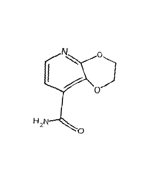 NC(=O)c1ccnc2c1OCCO2